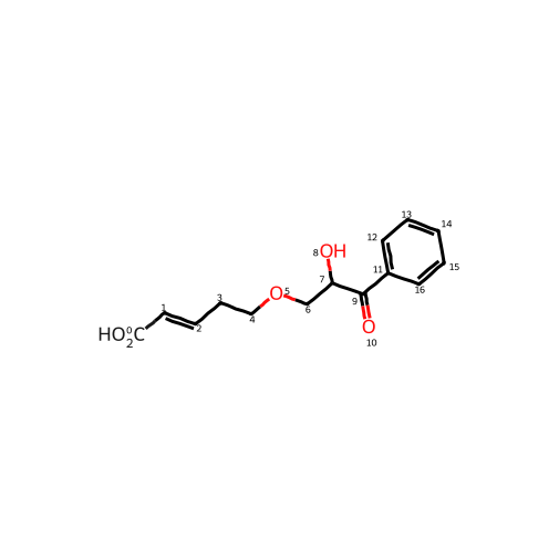 O=C(O)C=CCCOCC(O)C(=O)c1ccccc1